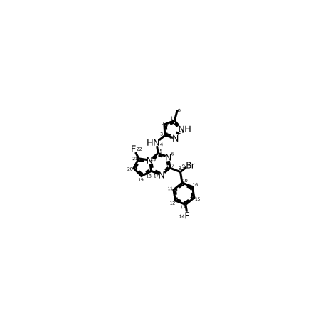 Cc1cc(Nc2nc(C(Br)c3ccc(F)cc3)nc3ccc(F)n23)n[nH]1